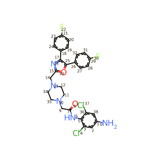 Nc1cc(Cl)c(NC(=O)CN2CCN(Cc3nc(-c4ccc(F)cc4)c(-c4ccc(F)cc4)o3)CC2)c(Cl)c1